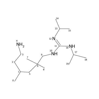 CC(CCN)CC(C)(C)CNC(=NC(C)C)NC(C)C